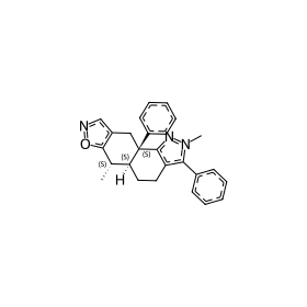 C[C@@H]1c2oncc2C[C@]2(c3ccccc3)c3nn(C)c(-c4ccccc4)c3CC[C@@H]12